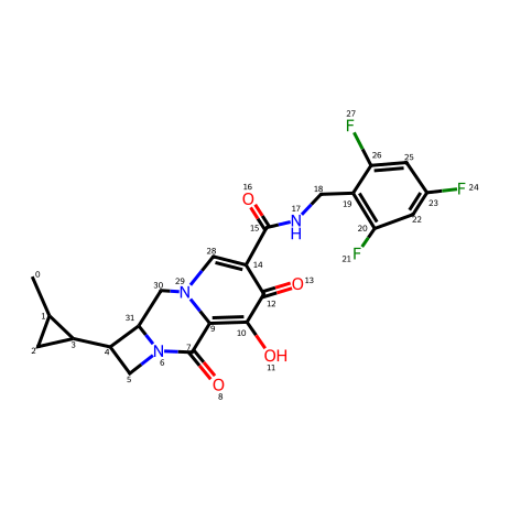 CC1CC1C1CN2C(=O)c3c(O)c(=O)c(C(=O)NCc4c(F)cc(F)cc4F)cn3CC12